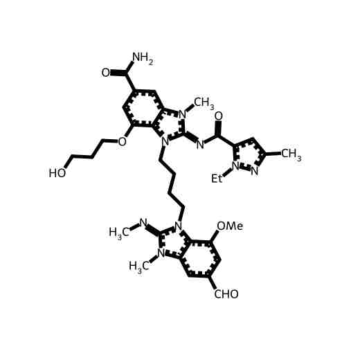 CCn1nc(C)cc1C(=O)/N=c1\n(C)c2cc(C(N)=O)cc(OCCCO)c2n1CCCCn1/c(=N/C)n(C)c2cc(C=O)cc(OC)c21